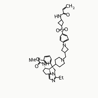 C=CC(=O)NC1CC(S(=O)(=O)c2ccc(N3CC(CN4CCC([C@@](Cn5ccnc5CC)(c5cccc(F)c5)[C@H]5CCC[C@@H]5NC(=O)OC)CC4)C3)cc2)C1